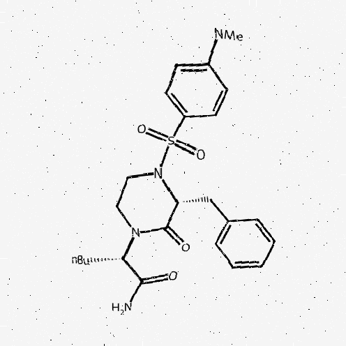 CCCC[C@@H](C(N)=O)N1CCN(S(=O)(=O)c2ccc(NC)cc2)[C@H](Cc2ccccc2)C1=O